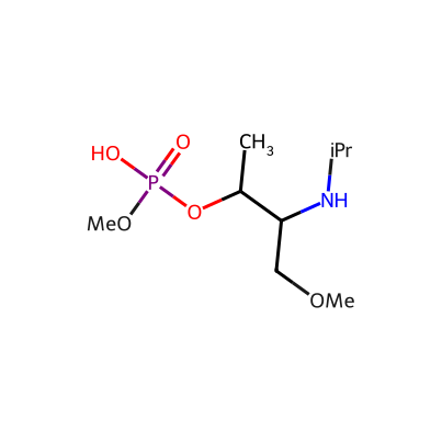 COCC(NC(C)C)C(C)OP(=O)(O)OC